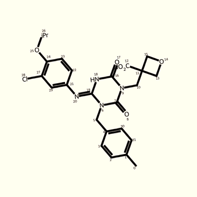 Cc1ccc(Cn2c(=O)n(CC3(C(=O)O)COC3)c(=O)[nH]/c2=N\c2ccc(OC(C)C)c(Cl)c2)cc1